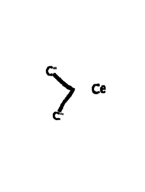 [CH2-]C[CH2-].[Ce]